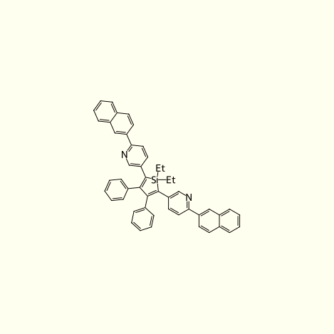 CC[Si]1(CC)C(c2ccc(-c3ccc4ccccc4c3)nc2)=C(c2ccccc2)C(c2ccccc2)=C1c1ccc(-c2ccc3ccccc3c2)nc1